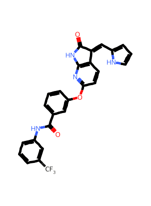 O=C1Nc2nc(Oc3cccc(C(=O)Nc4cccc(C(F)(F)F)c4)c3)ccc2/C1=C\c1ccc[nH]1